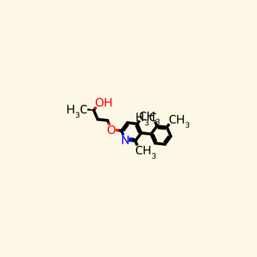 Cc1cccc(-c2c(C)cc(OCC[C@@H](C)O)nc2C)c1C